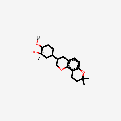 CCOC1CCC(C2COc3c(ccc4c3CCC(C)(C)O4)C2)C[C@@]1(C)O